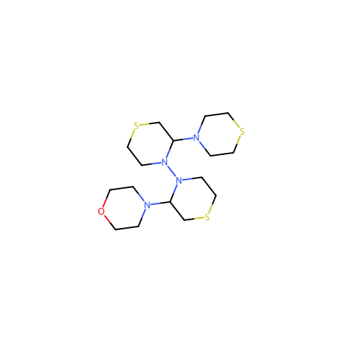 C1CN(C2CSCCN2N2CCSCC2N2CCSCC2)CCO1